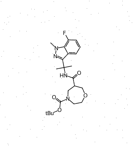 Cn1nc(C(C)(C)NC(=O)C2COCCN(C(=O)OC(C)(C)C)C2)c2cccc(F)c21